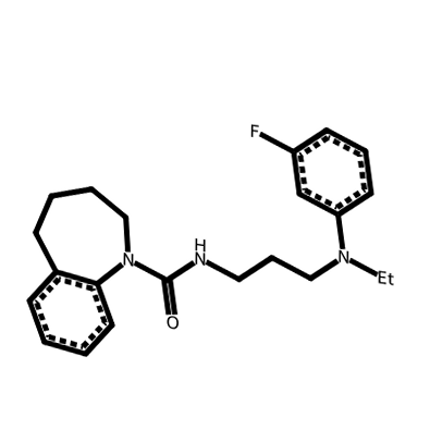 CCN(CCCNC(=O)N1CCCCc2ccccc21)c1cccc(F)c1